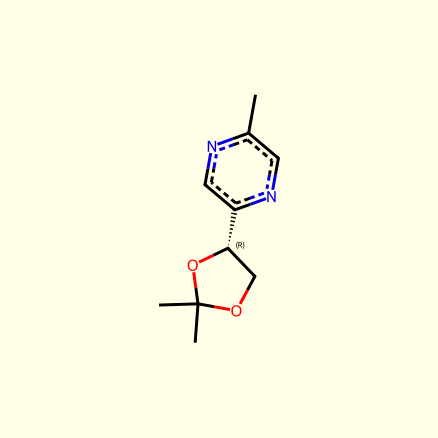 Cc1cnc([C@@H]2COC(C)(C)O2)cn1